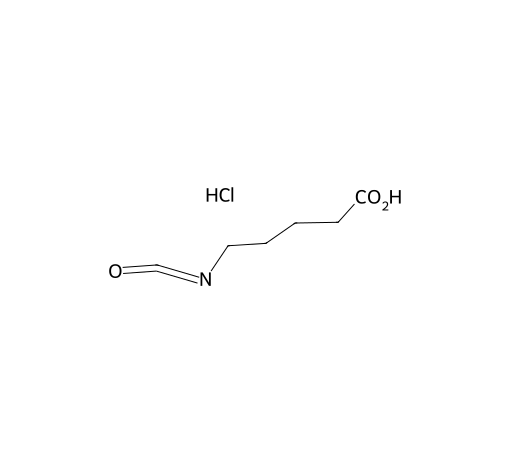 Cl.O=C=NCCCCC(=O)O